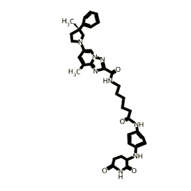 Cc1cc(N2CC[C@](C)(c3ccccc3)C2)cn2nc(C(=O)NCCCCCC(=O)Nc3ccc(NC4CCC(=O)NC4=O)cc3)nc12